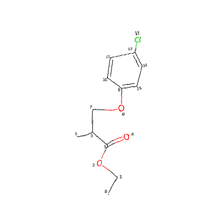 [CH2]COC(=O)C(C)COc1ccc(Cl)cc1